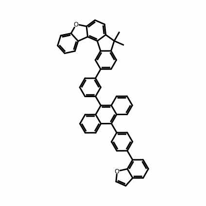 CC1(C)c2ccc(-c3cccc(-c4c5ccccc5c(-c5ccc(-c6cccc7ccoc67)cc5)c5ccccc45)c3)cc2-c2c1ccc1oc3ccccc3c21